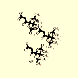 CC(C)OC(OC(C)C)(C(=O)CC(=O)[O-])C(C)(C)C.CC(C)OC(OC(C)C)(C(=O)CC(=O)[O-])C(C)(C)C.CC(C)OC(OC(C)C)(C(=O)CC(=O)[O-])C(C)(C)C.[Al+3]